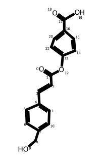 O=C(C=Cc1ccc(CO)cc1)Oc1ccc(C(=O)O)cc1